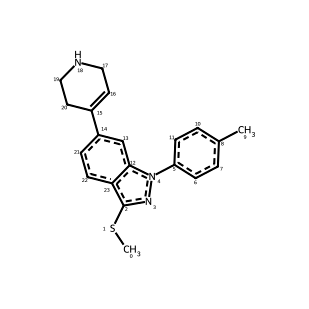 CSc1nn(-c2ccc(C)cc2)c2cc(C3=CCNCC3)ccc12